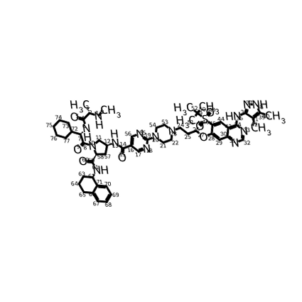 CN[C@@H](C)C(=O)N[C@H](C(=O)N1C[C@@H](NC(=O)c2cnc(N3CCN(CCCOc4cc5ncnc(Nc6n[nH]c(C)c6C)c5cc4S(=O)(=O)C(C)(C)C)CC3)nc2)C[C@H]1C(=O)N[C@@H]1CCCc2ccccc21)C1CCCCC1